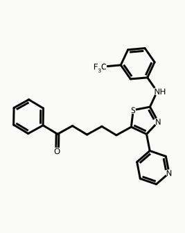 O=C(CCCCc1sc(Nc2cccc(C(F)(F)F)c2)nc1-c1cccnc1)c1ccccc1